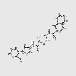 O=C(N[C@H]1CC[C@@H](C(=O)Nc2ccn(-c3ccccc3F)n2)CC1)c1ccc2cnccc2n1